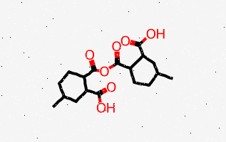 CC1CCC(C(=O)OC(=O)C2CCC(C)CC2C(=O)O)C(C(=O)O)C1